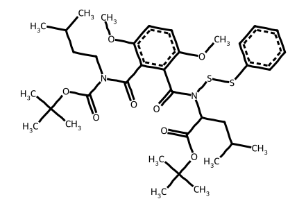 COc1ccc(OC)c(C(=O)N(SSc2ccccc2)C(CC(C)C)C(=O)OC(C)(C)C)c1C(=O)N(CCC(C)C)C(=O)OC(C)(C)C